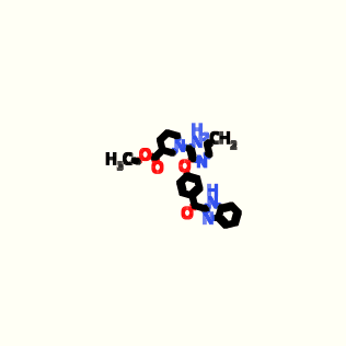 C=C/C=N\C(Oc1ccc(C(=O)c2nc3ccccc3[nH]2)cc1)=C(/N)N1CCCC(C(=O)OCC)C1